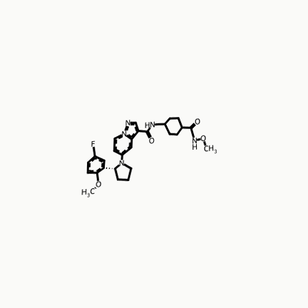 CONC(=O)C1CCC(NC(=O)c2cnn3ccc(N4CCC[C@@H]4c4cc(F)ccc4OC)cc23)CC1